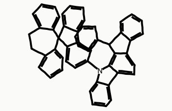 c1ccc(C2c3ccccc3-c3ccc4c5ccccc5n(-c5ccc6c(c5)-c5ccccc5C65c6ccccc6CCc6ccccc65)c4c32)cc1